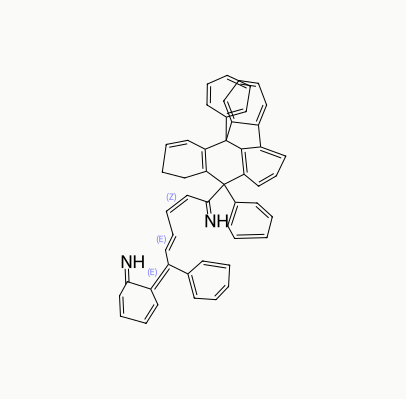 N=C1C=CC=C/C1=C(/C=C/C=C\C(=N)C1(c2ccccc2)C2=C(C=CCC2)C2(c3ccccc3)c3ccccc3-c3cccc1c32)c1ccccc1